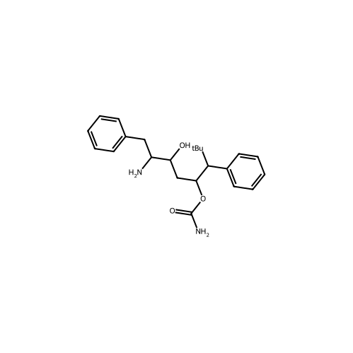 CC(C)(C)C(c1ccccc1)C(CC(O)C(N)Cc1ccccc1)OC(N)=O